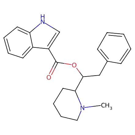 CN1CCCCC1C(Cc1ccccc1)OC(=O)c1c[nH]c2ccccc12